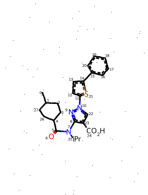 CC1CCC(C(=O)N(c2nn(-c3ccc(-c4ccccc4)s3)cc2C(=O)O)C(C)C)CC1